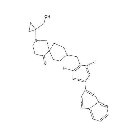 O=C1CCN(C2(CO)CC2)CC12CCN(Cc1c(F)cc(-c3ccc4cccnc4c3)cc1F)CC2